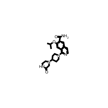 CC(C)Oc1cc2c(N3CCC(N4CCNC(=O)C4)CC3)nccc2cc1C(N)=O